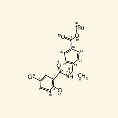 C[C@H](NC(=O)c1cc(Cl)cnc1Cl)c1ccc(C(=O)OC(C)(C)C)cc1